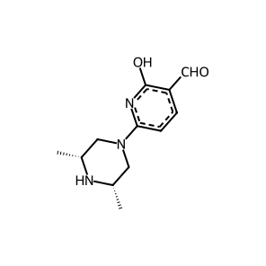 C[C@@H]1CN(c2ccc(C=O)c(O)n2)C[C@H](C)N1